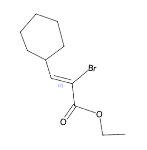 CCOC(=O)/C(Br)=C/C1CCCCC1